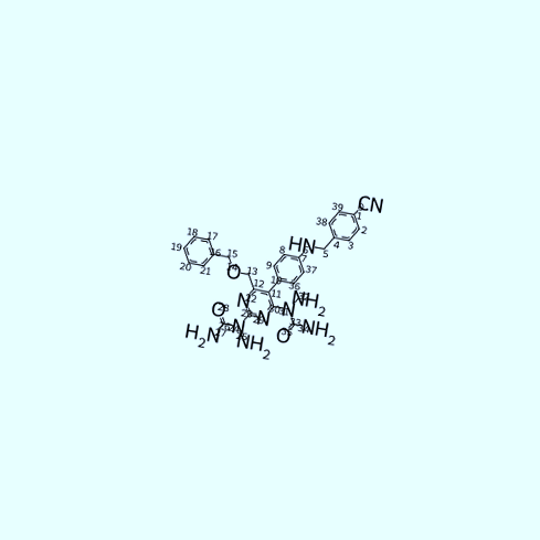 N#Cc1ccc(CNc2ccc(-c3c(COCc4ccccc4)nc(N(N)C(N)=O)nc3N(N)C(N)=O)cc2)cc1